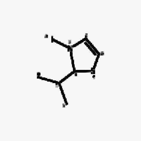 C[C](C)C1SC=CN1I